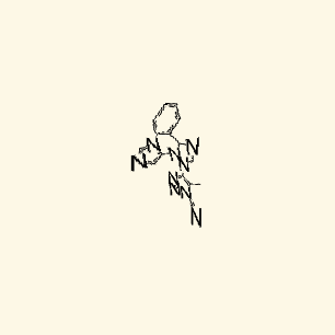 Cc1c(N2C=NC3c4ccccc4-n4cncc4N32)nnn1C#N